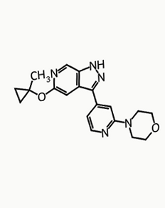 CC1(Oc2cc3c(-c4ccnc(N5CCOCC5)c4)n[nH]c3cn2)CC1